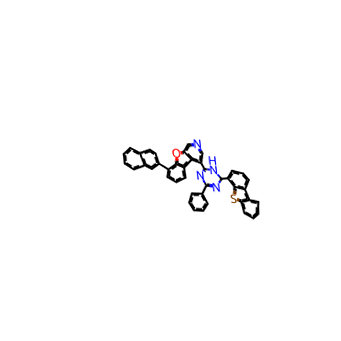 c1ccc(C2=NC(c3cccc4c3sc3ccccc34)NC(c3cncc4oc5c(-c6ccc7ccccc7c6)cccc5c34)=N2)cc1